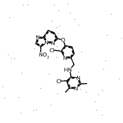 Cc1nc(C)c(Cl)c(NCc2ccc(Oc3ccc4ncc([N+](=O)[O-])n4n3)c(Cl)n2)n1